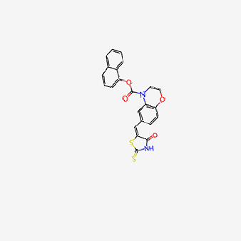 O=C1NC(=S)S/C1=C/c1ccc2c(c1)N(C(=O)Oc1cccc3ccccc13)CCO2